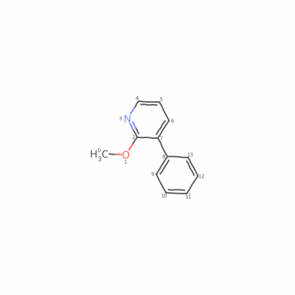 COc1ncccc1-c1cc[c]cc1